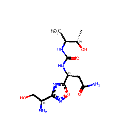 C[C@H](O)C(NC(=O)N[C@@H](CC(N)=O)c1nc([C@@H](N)CO)no1)C(=O)O